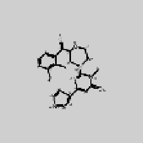 Cc1c(F)cccc1C(=O)C1CN(c2nc(-c3ccncc3)cc(=O)n2C)CCO1